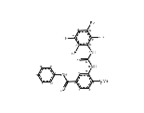 COc1ccc(C(=O)Nc2ccccc2)cc1NC(=S)Nc1c(F)c(F)cc(F)c1F